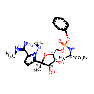 C=Nn1c(/C(N)=N\C)ccc1[C@]1(C#N)O[C@H](COP(=O)(N[C@@H](C)C(=O)OCC)Oc2ccccc2)[C@@H](O)[C@H]1O